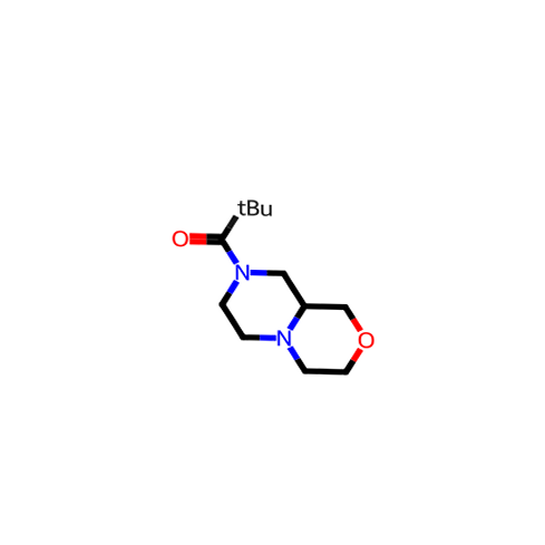 CC(C)(C)C(=O)N1CCN2CCOCC2C1